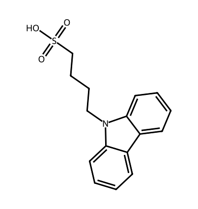 O=S(=O)(O)CCCCn1c2ccccc2c2ccccc21